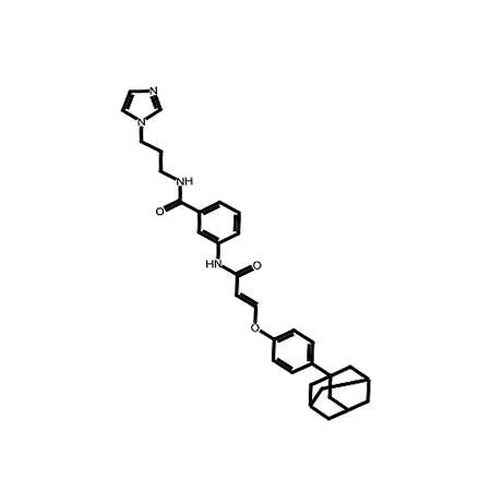 O=C(C=COc1ccc(C23CC4CC(CC(C4)C2)C3)cc1)Nc1cccc(C(=O)NCCCn2ccnc2)c1